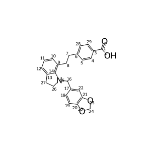 O=C(O)c1ccc(CCc2cccc3c2N(Cc2ccc4c(c2)OCO4)CC3)cc1